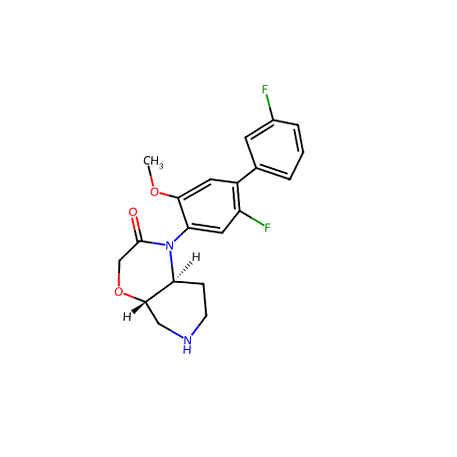 COc1cc(-c2cccc(F)c2)c(F)cc1N1C(=O)CO[C@H]2CNCC[C@@H]21